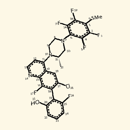 CSc1c(F)c(F)c(N2CCN(c3ccnc4c(F)c(-c5c(O)cccc5F)c(Cl)cc34)[C@@H](C)C2)c(F)c1F